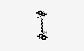 Cc1ccc2nc(C)cc(NCCCCCCCCNc3cc(C)nc4ccc(C)cc34)c2c1